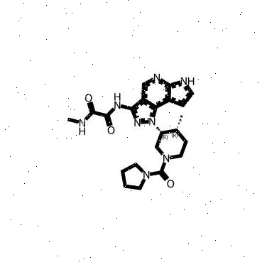 CNC(=O)C(=O)Nc1nn([C@H]2CN(C(=O)N3CCCC3)CC[C@H]2C)c2c1cnc1[nH]ccc12